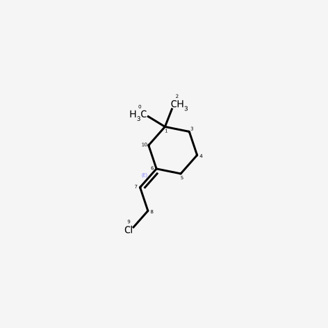 CC1(C)CCC/C(=C\CCl)C1